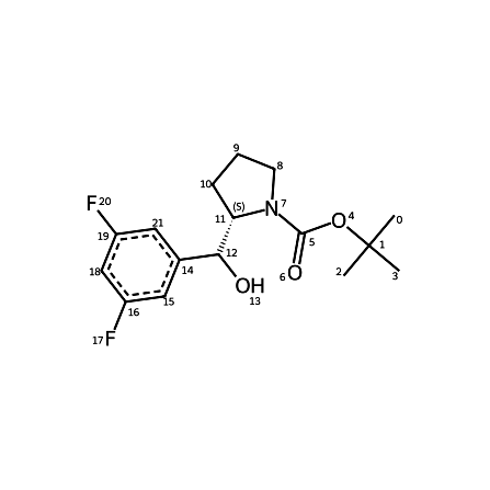 CC(C)(C)OC(=O)N1CCC[C@H]1C(O)c1cc(F)cc(F)c1